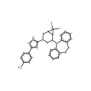 FC(F)(F)c1ccc(-c2n[nH]c(N3CC(N4c5ccccc5CCc5ccccc54)C4C(C3)C4(F)F)n2)cc1